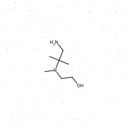 CN(CCO)C(C)(C)CN